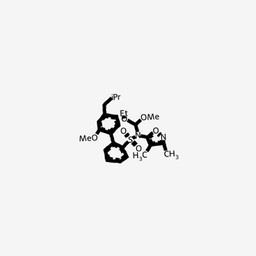 CCOC(OC)N(c1onc(C)c1C)S(=O)(=O)c1ccccc1-c1ccc(CC(C)C)cc1OC